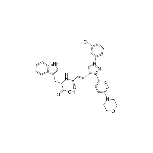 O=C(/C=C/c1cn(-c2cccc(Cl)c2)nc1-c1ccc(N2CCOCC2)cc1)NC(Cc1c[nH]c2ccccc12)C(=O)O